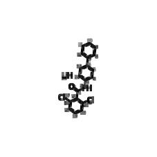 O=C(Pc1ccc(-c2ccccc2)cc1)c1c(Cl)cccc1Cl.[LiH]